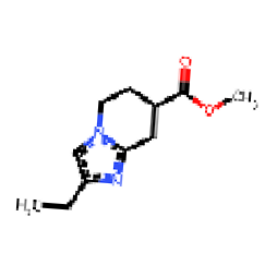 CCc1cn2c(n1)CC(C(=O)OC)CC2